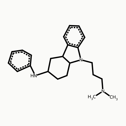 CN(C)CCCN1c2ccccc2C2CC(Nc3ccccc3)CCC21